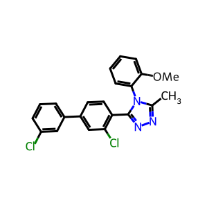 COc1ccccc1-n1c(C)nnc1-c1ccc(-c2cccc(Cl)c2)cc1Cl